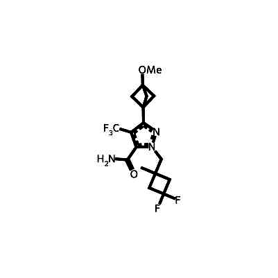 COC12CC(c3nn(CC4(C)CC(F)(F)C4)c(C(N)=O)c3C(F)(F)F)(C1)C2